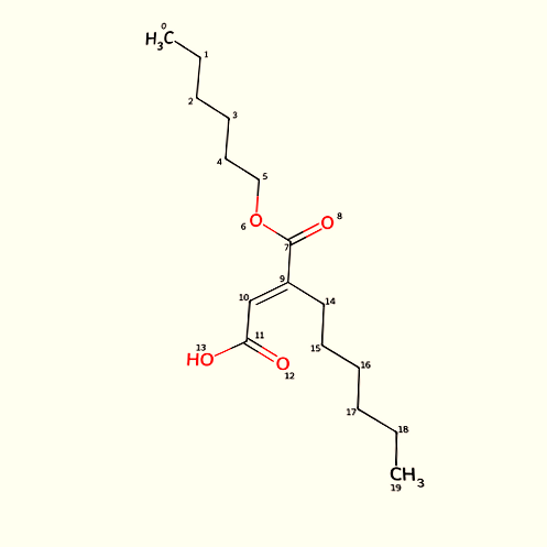 CCCCCCOC(=O)C(=CC(=O)O)CCCCCC